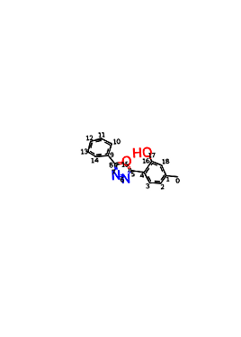 Cc1ccc(-c2nnc(-c3ccccc3)o2)c(O)c1